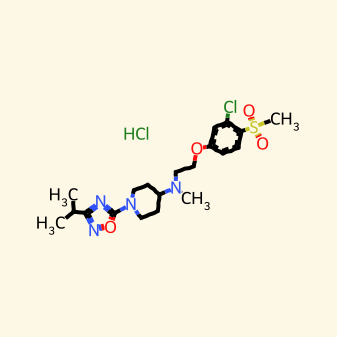 CC(C)c1noc(N2CCC(N(C)CCOc3ccc(S(C)(=O)=O)c(Cl)c3)CC2)n1.Cl